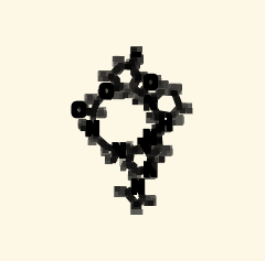 CN1CCN(C)c2cc(N3CCC3)nc3cc(nn23)[C@@H]2CCCCN2C(=O)c2cc(F)ccc2OCC1=O